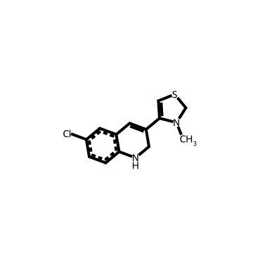 CN1CSC=C1C1=Cc2cc(Cl)ccc2NC1